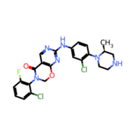 C[C@H]1CNCCN1c1ccc(Nc2ncc3c(n2)OCN(c2c(F)cccc2Cl)C3=O)cc1Cl